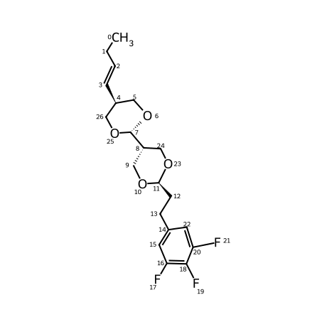 CC/C=C/[C@H]1CO[C@H]([C@H]2CO[C@H](CCc3cc(F)c(F)c(F)c3)OC2)OC1